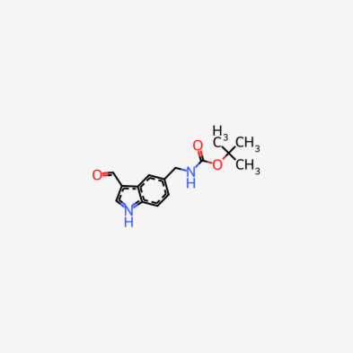 CC(C)(C)OC(=O)NCc1ccc2[nH]cc(C=O)c2c1